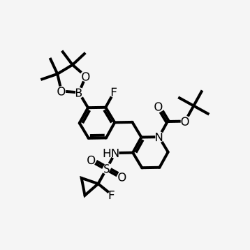 CC(C)(C)OC(=O)N1CCCC(NS(=O)(=O)C2(F)CC2)=C1Cc1cccc(B2OC(C)(C)C(C)(C)O2)c1F